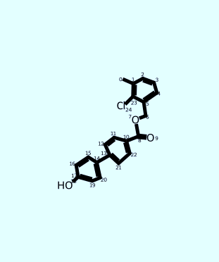 Cc1cccc(COC(=O)c2ccc(-c3ccc(O)cc3)cc2)c1Cl